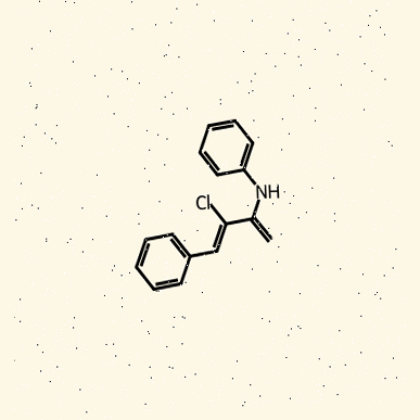 C=C(Nc1ccccc1)C(Cl)=Cc1ccccc1